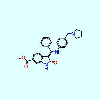 COC(=O)c1ccc2c(c1)NC(=O)/C2=C(\Nc1ccc(CN2CCCC2)cc1)c1ccccc1